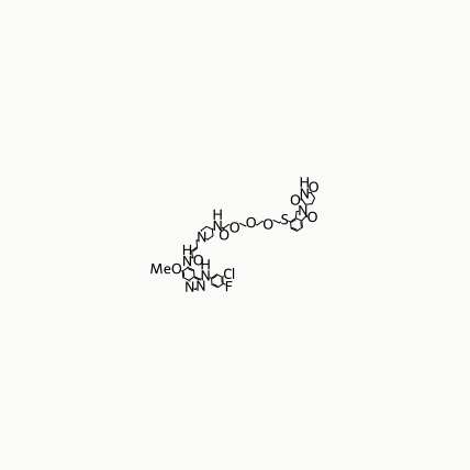 COc1cc2ncnc(Nc3ccc(F)c(Cl)c3)c2cc1NC(=O)/C=C/CN1CCC(NC(=O)COCCOCCOCCSc2cccc3c2CN(C2CCC(=O)NC2=O)C3=O)CC1